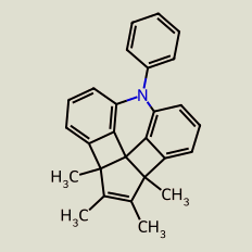 CC1=C(C)C2(C)c3cccc4c3C23c2c(cccc2C13C)N4c1ccccc1